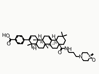 C=S1(=O)CCN(CCCNC(=O)[C@]23CCC(C)(C)C[C@H]2C2=CC[C@@H]4[C@@]5(C)CC=C(c6ccc(C(=O)O)cc6)C(C)(C)[C@@H]5CC[C@@]4(C)[C@]2(C)CC3)CC1